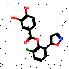 O=C(Oc1c(F)cccc1-c1ccno1)c1ccc(O)c(O)c1